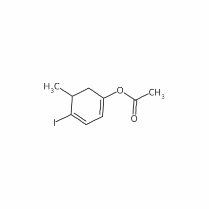 CC(=O)OC1=CC=C(I)C(C)C1